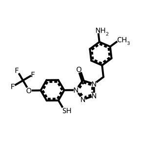 Cc1cc(Cn2nnn(-c3ccc(OC(F)(F)F)cc3S)c2=O)ccc1N